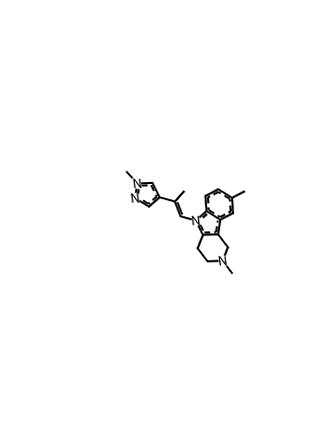 C/C(=C\n1c2c(c3cc(C)ccc31)CN(C)CC2)c1cnn(C)c1